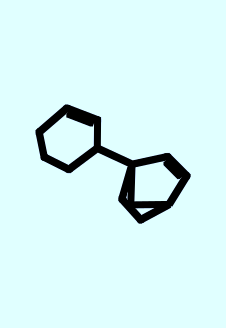 C1=CC(C23C=CC(CC2)C3)CCC1